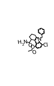 CC(=O)Oc1ccc(Cl)c2c1c1c(n2Cc2ccccc2)CCCC1C(N)=O